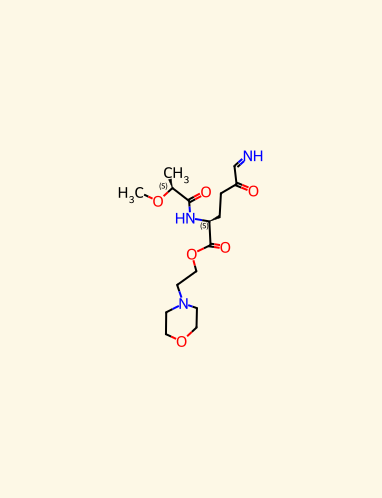 CO[C@@H](C)C(=O)N[C@@H](CCC(=O)C=N)C(=O)OCCN1CCOCC1